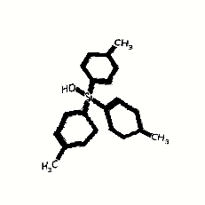 CC1CCC([Si](O)(C2CCC(C)CC2)C2CCC(C)CC2)CC1